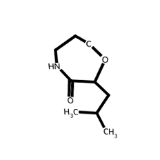 CC(C)CC1OCCCNC1=O